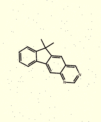 CC1(C)c2ccccc2-c2cc3ncncc3cc21